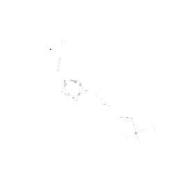 CC(C)(C)CCOCCn1cc(CCC(C)(C)C)nn1